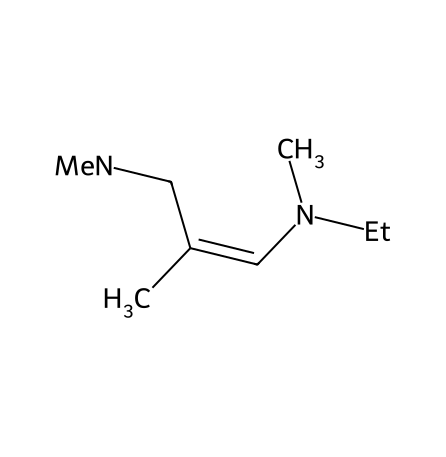 CCN(C)/C=C(/C)CNC